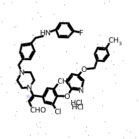 Cc1ccc(COc2ccc(Oc3c(C)cc(/C(=C\C=O)N4CCN(Cc5ccc(CCNc6ccc(F)cc6)cc5)CC4)cc3Cl)nc2)cc1.Cl.Cl